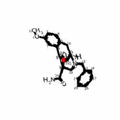 COc1ccc2c(c1)[C@]13CCN(Cc4ccccc4)[C@H](C2)[C@]1(O)CC(C(N)=O)C3